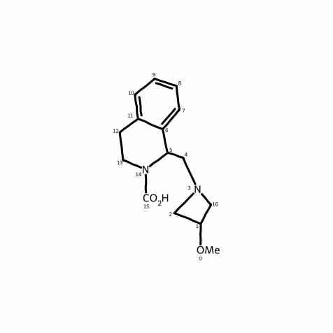 COC1CN(CC2c3ccccc3CCN2C(=O)O)C1